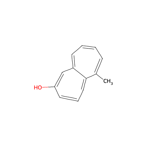 CC1=CC=CC=C2C=C(O)C=CC=C12